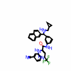 N#Cc1cccc(N/C(=C\C(=N)C(F)(F)F)C(=O)Nc2cccc(C(NCC3CC3)c3ccc4ccccc4c3)c2)c1